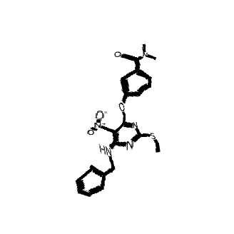 CSc1nc(NCc2ccccc2)c([N+](=O)[O-])c(Oc2cccc(C(=O)N(C)C)c2)n1